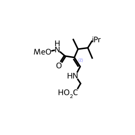 CONC(=O)/C(=C\NCC(=O)O)C(C)C(C)C(C)C